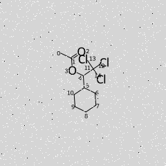 CC(=O)OC(C1CCCCC1)C(Cl)(Cl)Cl